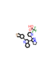 O=C(O)C(F)(F)F.c1ccc(-c2nn3c(c2-c2cc(-c4ccc5cscc5c4)nc4ccccc24)CCC3)nc1